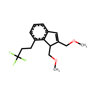 COCC1=Cc2cccc(CCC(F)(F)F)c2C1COC